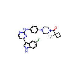 O=C(N1CCN(c2ccc(Nc3nccc(-c4c[nH]c5ccc(F)cc45)n3)cc2)CC1)C1(C(F)(F)F)CCC1